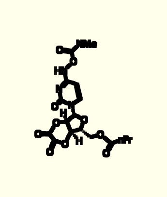 CCCC(=O)OC[C@H]1O[C@@H](n2ccc(NOC(=O)NC)nc2=O)[C@@H]2OC(=O)C(=O)O[C@@H]21